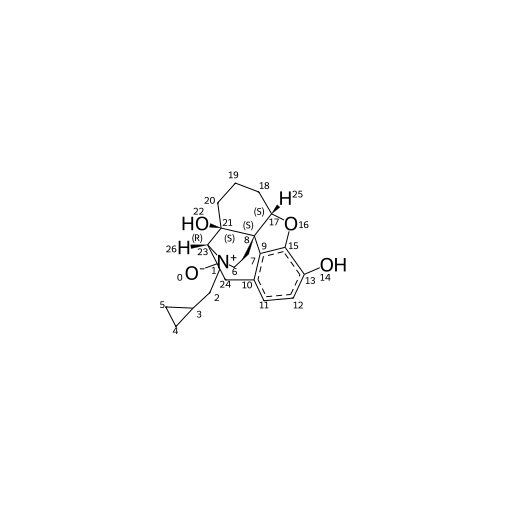 [O-][N+]1(CC2CC2)CC[C@]23c4c5ccc(O)c4O[C@H]2CCC[C@@]3(O)[C@H]1C5